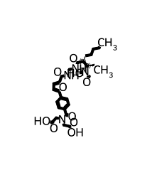 CCCCC[C@@H](C(=O)NCNC(=O)c1ccc(-c2ccc(C(=O)N(CC(=O)O)CC(=O)O)cc2)o1)[C@@H](CC)N(O)C=O